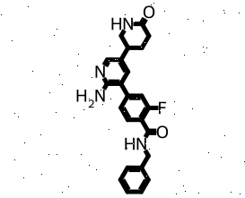 Nc1ncc(C2CCC(=O)NC2)cc1-c1ccc(C(=O)NCc2ccccc2)c(F)c1